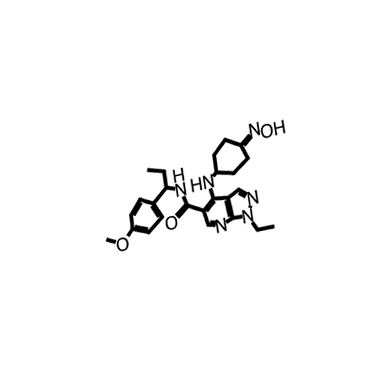 CCC(NC(=O)c1cnc2c(cnn2CC)c1NC1CCC(=NO)CC1)c1ccc(OC)cc1